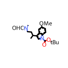 COc1ccc2c(c1)c(C(C)CCN(C)C=O)cn2C(=O)OC(C)(C)C